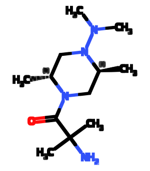 C[C@@H]1CN(N(C)C)[C@@H](C)CN1C(=O)C(C)(C)N